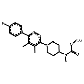 Cc1c(-c2ccc(F)cc2)nnc(N2CCC(N(C)C(=O)OC(C)(C)C)CC2)c1C